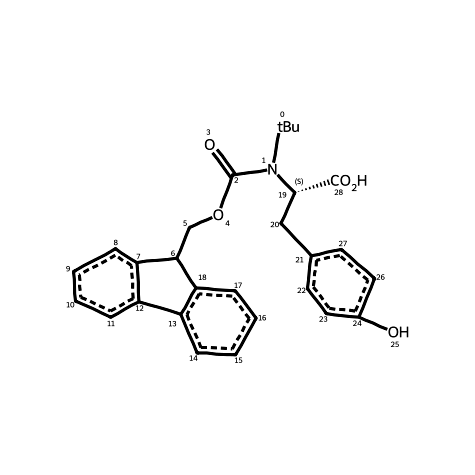 CC(C)(C)N(C(=O)OCC1c2ccccc2-c2ccccc21)[C@@H](Cc1ccc(O)cc1)C(=O)O